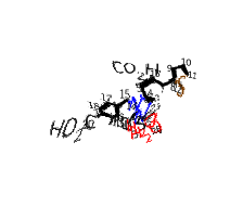 CCCCc1ncc(C=C(Cc2cccs2)C(=O)O)n1Cc1ccc(C(=O)O)cc1.CS(=O)(=O)O.O.O